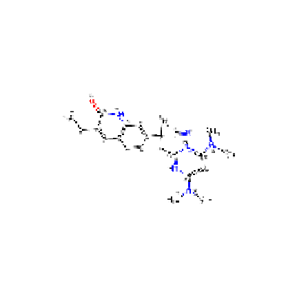 CCc1cc2ccc(C(C)(C#N)Cc3nc(N(C)C)cc(N(C)C)n3)cc2[nH]c1=O